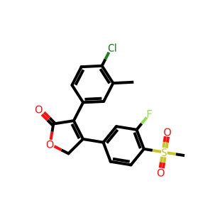 Cc1cc(C2=C(c3ccc(S(C)(=O)=O)c(F)c3)COC2=O)ccc1Cl